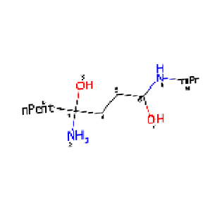 CCCCCC(N)(O)CCC(O)NCCC